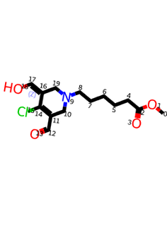 COC(=O)CCCCCN1CC(C=O)=C(Cl)/C(=C\O)C1